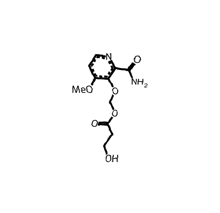 COc1ccnc(C(N)=O)c1OCOC(=O)CCO